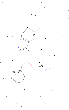 Cc1ccc2[nH]cc(C[C@@H](Cc3ccccc3)OC(=O)NC(C)(C)C)c2c1